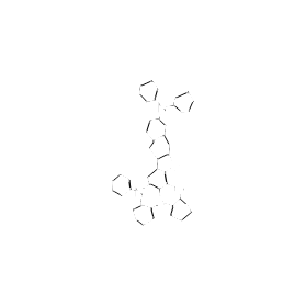 c1ccc(N(c2ccccc2)c2ccc3cc4c(cc3c2)oc2c3c5c(cc24)N(c2ccccc2)c2ccccc2B5c2ccccc2O3)cc1